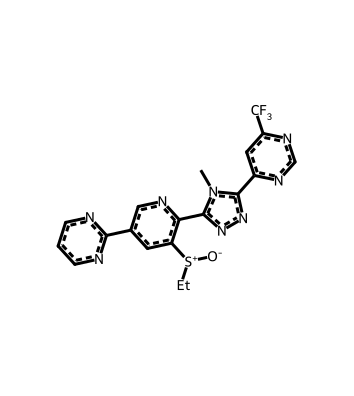 CC[S+]([O-])c1cc(-c2ncccn2)cnc1-c1nnc(-c2cc(C(F)(F)F)ncn2)n1C